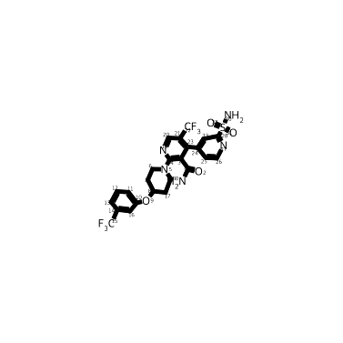 NC(=O)c1c(N2CCC(Oc3cccc(C(F)(F)F)c3)CC2)ncc(C(F)(F)F)c1-c1ccnc(S(N)(=O)=O)c1